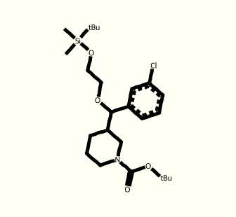 CC(C)(C)OC(=O)N1CCCC(C(OCCO[Si](C)(C)C(C)(C)C)c2cccc(Cl)c2)C1